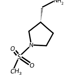 CS(=O)(=O)N1CC[C@@H](CN)C1